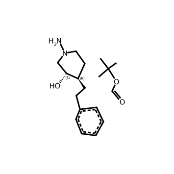 CC(C)(C)OC=O.NN1CC[C@@H](CCc2ccccc2)[C@H](O)C1